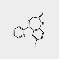 S=C1CN=C(c2ccccn2)c2cc(I)ccc2N1